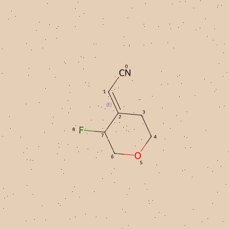 N#C/C=C1\CCOCC1F